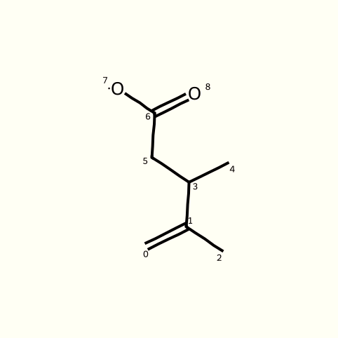 C=C(C)C(C)CC([O])=O